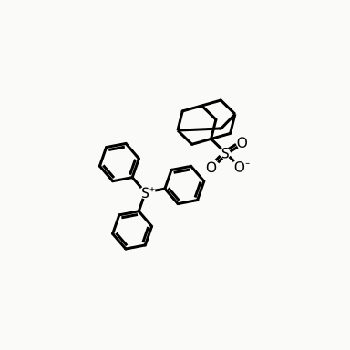 O=S(=O)([O-])C12CC3CC(CC(C3)C1)C2.c1ccc([S+](c2ccccc2)c2ccccc2)cc1